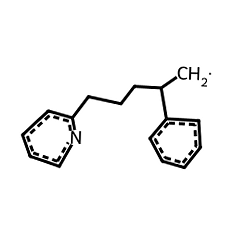 [CH2]C(CCCc1ccccn1)c1ccccc1